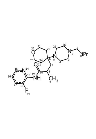 CC(C)CN1CCN(C2(CC(C)C(=O)Nc3ncccc3F)CCOCC2)CC1